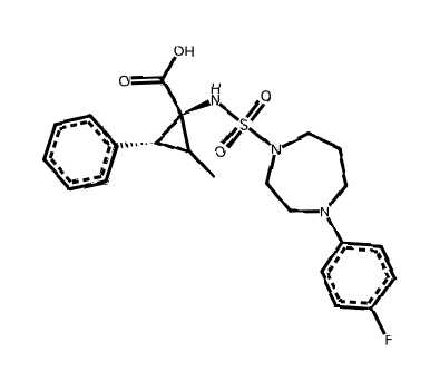 CC1[C@H](c2ccccc2)[C@]1(NS(=O)(=O)N1CCCN(c2ccc(F)cc2)CC1)C(=O)O